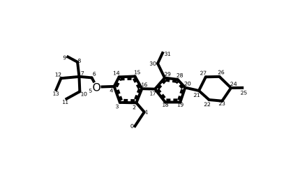 CCc1cc(OCC(CC)(CC)CC)ccc1-c1ccc(C2CCC(C)CC2)cc1CC